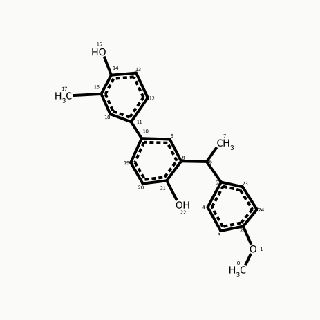 COc1ccc(C(C)c2cc(-c3ccc(O)c(C)c3)ccc2O)cc1